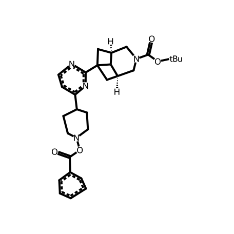 CC(C)(C)OC(=O)N1C[C@@H]2CC3(c4nccc(C5CCN(OC(=O)c6ccccc6)CC5)n4)C[C@H](C1)C23